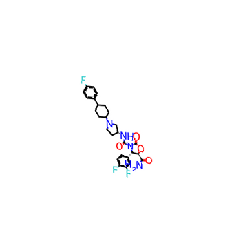 NC(=O)[C@@H]1OC(=O)N(C(=O)N[C@@H]2CCN(C3CCC(c4ccc(F)cc4)CC3)C2)[C@H]1c1ccc(F)c(F)c1